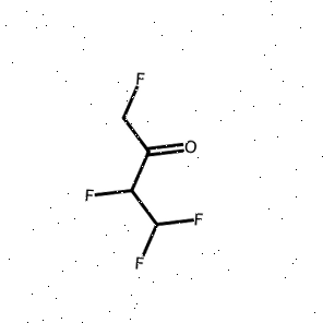 O=C(CF)C(F)C(F)F